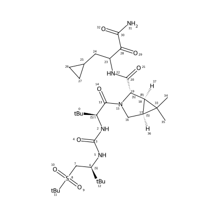 CC(C)(C)[C@H](NC(=O)N[C@H](CS(=O)(=O)C(C)(C)C)C(C)(C)C)C(=O)N1C[C@H]2[C@@H]([C@H]1C(=O)NC(CC1CC1)C(=O)C(N)=O)C2(C)C